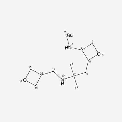 CC(C)(C)NC1COC1CC(C)(C)NCC1COC1